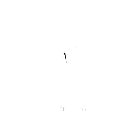 CCOC[C@H]1CC[C@H](C(N)=O)CC1